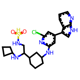 O=[SH](=O)NCC(NC1CCC1)C1CCCC(Nc2cc(-c3c[nH]c4ncccc34)cc(Cl)n2)C1